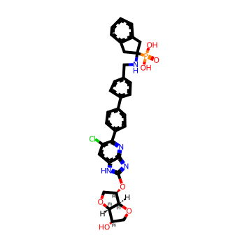 O=P(O)(O)C1(NCc2ccc(-c3ccc(-c4nc5nc(O[C@@H]6CO[C@H]7[C@@H]6OC[C@H]7O)[nH]c5cc4Cl)cc3)cc2)Cc2ccccc2C1